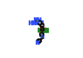 Cl.Cl.Cl.N=C(N)N1CCc2ccc(OCC3CCN(Cc4ccncc4)CC3)cc2C1